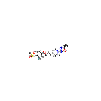 CC(C)c1nc(N2CCC(CCCOc3ccc(CS(C)(=O)=O)c(F)c3)CC2)no1